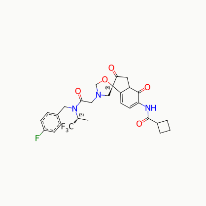 C[C@H](N(Cc1ccc(F)cc1)C(=O)CN1CO[C@]2(C1)C(=O)CC1C(=O)C(NC(=O)C3CCC3)=CC=C12)C(F)(F)F